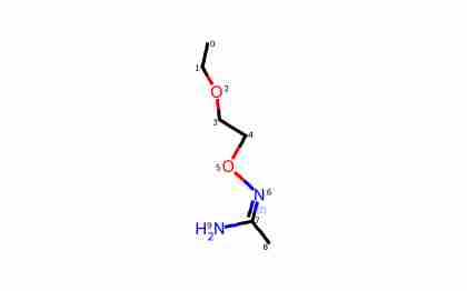 CCOCCO/N=C(/C)N